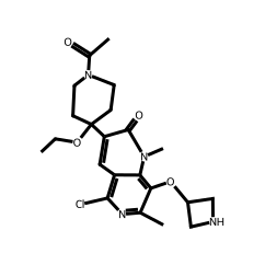 CCOC1(c2cc3c(Cl)nc(C)c(OC4CNC4)c3n(C)c2=O)CCN(C(C)=O)CC1